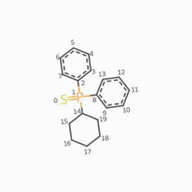 S=P(c1ccccc1)(c1ccccc1)C1CCCCC1